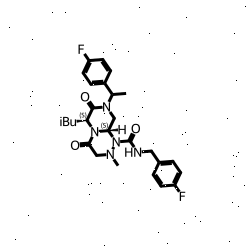 CCC(C)[C@H]1C(=O)N(C(C)c2ccc(F)cc2)C[C@H]2N1C(=O)CN(C)N2C(=O)NCc1ccc(F)cc1